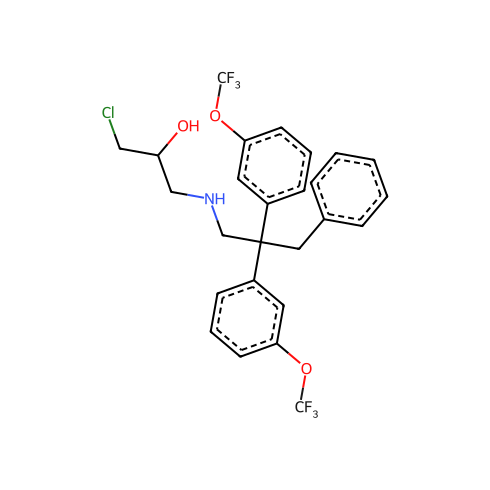 OC(CCl)CNCC(Cc1ccccc1)(c1cccc(OC(F)(F)F)c1)c1cccc(OC(F)(F)F)c1